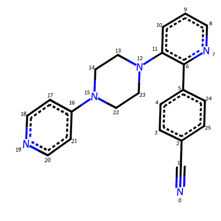 N#Cc1ccc(-c2ncccc2N2CCN(c3ccncc3)CC2)cc1